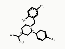 CCCC(C(=O)O)[C@H]1CCN(Cc2cc(C(F)(F)F)ccc2C(F)(F)F)[C@@H](C2C=CC(C(F)(F)F)=CC2)C1